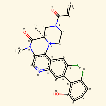 C=CC(=O)N1CCN2c3c(cnc4cc(-c5c(O)cccc5F)c(Cl)cc34)N(C)C(=O)[C@H]2C1